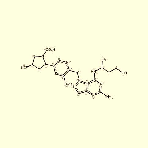 CCCC(CCO)Nc1nc(N)nc2cnn(Cc3ncc(C4C[C@@H](C#N)CN4C(=O)O)cc3OC)c12